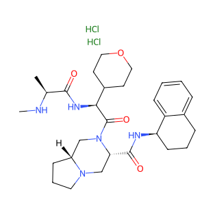 CN[C@@H](C)C(=O)N[C@H](C(=O)N1C[C@H]2CCCN2C[C@H]1C(=O)N[C@@H]1CCCc2ccccc21)C1CCOCC1.Cl.Cl